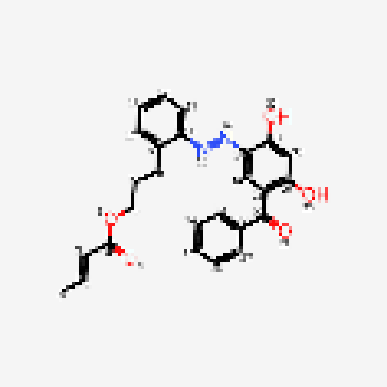 CC=CC(=O)OCCCc1ccccc1N=Nc1cc(C(=O)c2ccccc2)c(O)cc1O